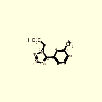 O=C(O)Cn1nnnc1-c1cccc(C(F)(F)F)c1